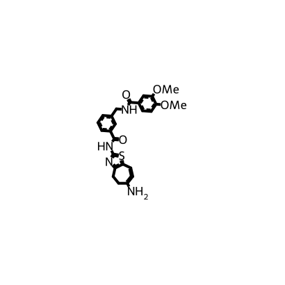 COc1ccc(C(=O)NCc2cccc(C(=O)Nc3nc4c(s3)C=C=C(N)CC4)c2)cc1OC